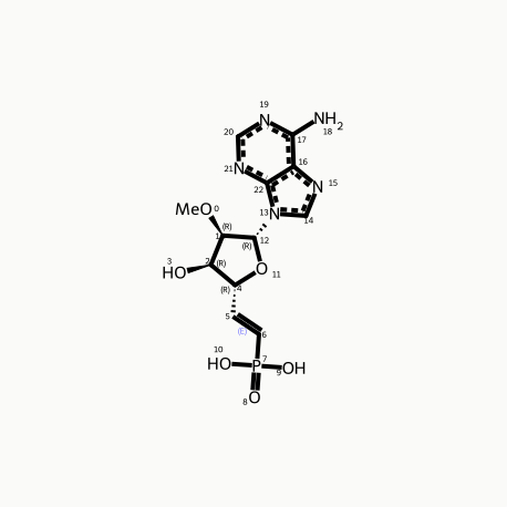 CO[C@@H]1[C@H](O)[C@@H](/C=C/P(=O)(O)O)O[C@H]1n1cnc2c(N)ncnc21